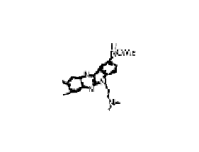 CONc1ccc2c(c1)c1nc3cc(C)c(C)cc3nc1n2CCN(C)C